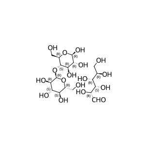 O=C[C@H](O)[C@@H](O)[C@H](O)[C@H](O)CO.OC[C@H]1O[C@H](O[C@H]2[C@H](O)[C@@H](O)[C@H](O)O[C@@H]2CO)[C@H](O)[C@@H](O)[C@@H]1O